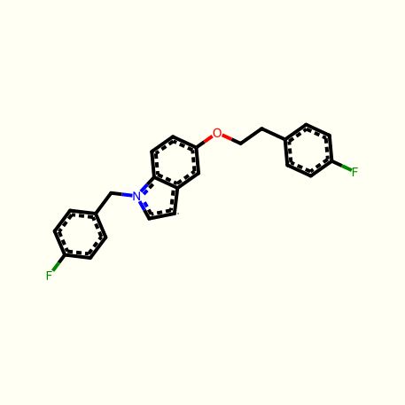 Fc1ccc(CCOc2ccc3c([c]cn3Cc3ccc(F)cc3)c2)cc1